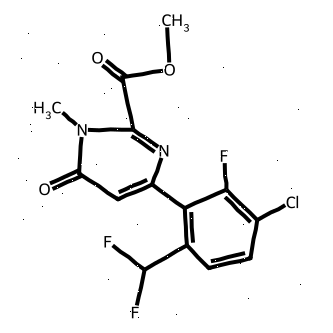 COC(=O)c1nc(-c2c(C(F)F)ccc(Cl)c2F)cc(=O)n1C